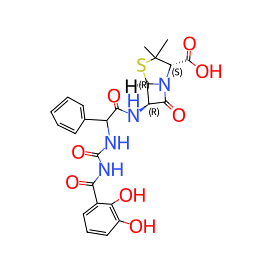 CC1(C)S[C@@H]2[C@H](NC(=O)C(NC(=O)NC(=O)c3cccc(O)c3O)c3ccccc3)C(=O)N2[C@H]1C(=O)O